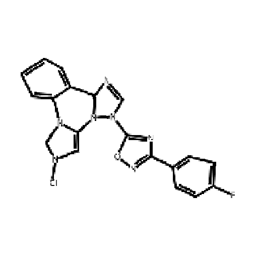 Fc1ccc(-c2noc(N3C=NC4c5ccccc5N5CN(Cl)C=C5N43)n2)cc1